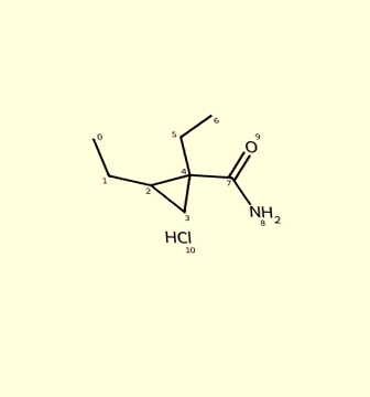 CCC1CC1(CC)C(N)=O.Cl